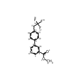 COC(=O)c1cncc(-c2ccc(CC(F)(F)F)cc2)c1